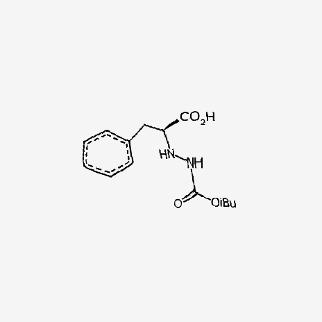 CC(C)COC(=O)NN[C@@H](Cc1ccccc1)C(=O)O